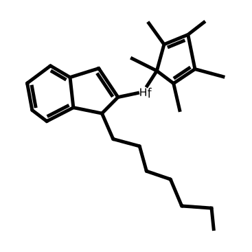 CCCCCCCC1[C]([Hf][C]2(C)C(C)=C(C)C(C)=C2C)=Cc2ccccc21